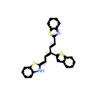 C(/C=C(/C=C/c1nc2ccccc2s1)c1cc2ccccc2s1)=C1\Nc2ccccc2S1